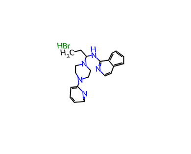 Br.CCC(Nc1nccc2ccccc12)N1CCN(c2ccccn2)CC1